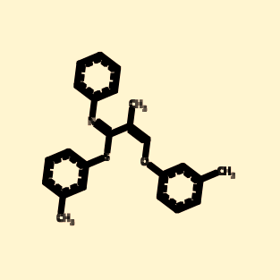 CC(=COc1cccc(C)c1)/C(=N\c1ccccc1)Sc1cccc(C)c1